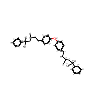 [Li][C]([Li])(CC(C)CCc1ccc(Oc2ccc(CCC(C)C[C]([Li])([Li])c3ccccc3)cc2)cc1)c1ccccc1